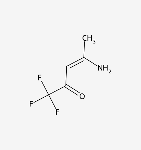 CC(N)=CC(=O)C(F)(F)F